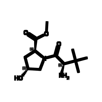 COC(=O)[C@@H]1C[C@@H](O)CN1C(=O)[C@@H](N)C(C)(C)C